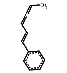 CC=C=CC=Cc1ccccc1